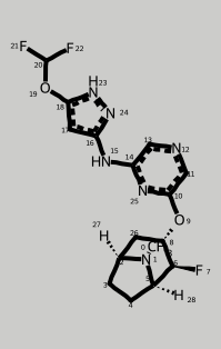 CN1[C@H]2CC[C@@H]1[C@H](F)[C@@H](Oc1cncc(Nc3cc(OC(F)F)[nH]n3)n1)C2